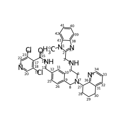 Cn1c(CNCCN(Cc2ccc(CNC(=O)c3c(Cl)cncc3Cl)cc2)C2CCCc3cccnc32)nc2ccccc21